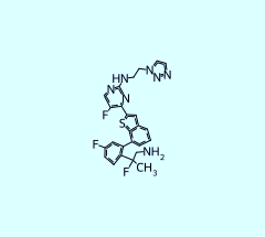 CC(F)(CN)c1ccc(F)cc1-c1cccc2cc(-c3nc(NCCn4ccnn4)ncc3F)sc12